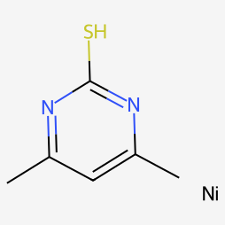 Cc1cc(C)nc(S)n1.[Ni]